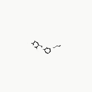 C=CCCOc1cccc(NC(=O)c2cc(C)c(C)nc2N)c1F